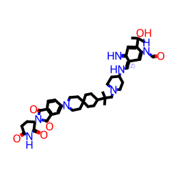 CC(C)(O)C1=CC(=N)/C(=C\NC2CCN(CC(C)(C)C3CCC4(CC3)CCN(c3ccc5c(c3)C(=O)N(C3CCC(=O)NC3=O)C5=O)CC4)CC2)C=C1NC=O